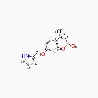 O=c1cc(C(F)(F)F)c2ccc(OCc3ccc[nH]3)cc2o1